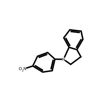 O=[N+]([O-])c1ccc(N2CCc3ccccc32)cc1